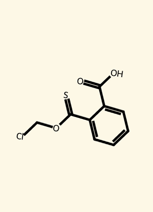 O=C(O)c1ccccc1C(=S)OCCl